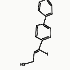 OC/C=C(\I)c1ccc(-c2ccccc2)cc1